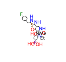 CCN(C(=O)c1[nH]cc(C(=N)SC(=N)Cc2ccc(F)cc2)c(=O)c1O)C1(NC)CCC(P(O)O)C1